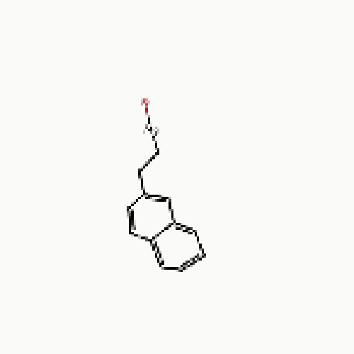 [Br][Mg][CH2]Cc1ccc2ccccc2c1